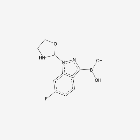 OB(O)c1nn(C2NCCO2)c2cc(F)ccc12